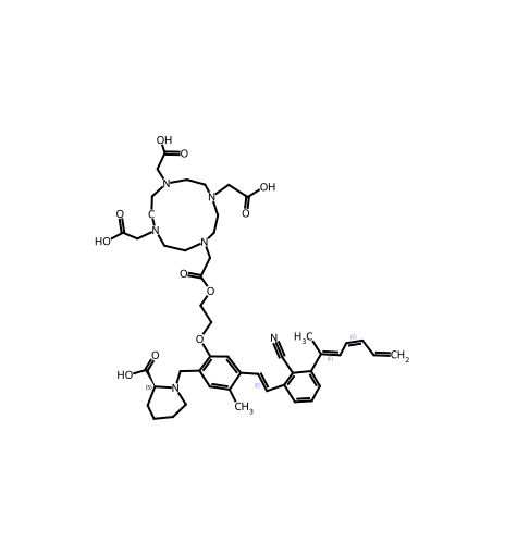 C=C/C=C\C=C(/C)c1cccc(/C=C/c2cc(OCCOC(=O)CN3CCN(CC(=O)O)CCN(CC(=O)O)CCN(CC(=O)O)CC3)c(CN3CCCC[C@H]3C(=O)O)cc2C)c1C#N